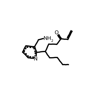 C=CC(=O)CCC(CCCC)c1ncccc1CN